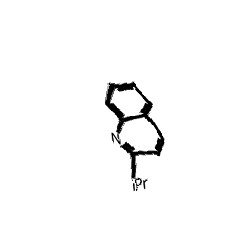 [CH2]C(C)c1ccc2ccccc2n1